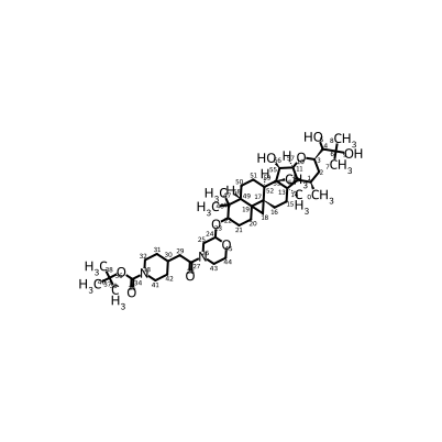 C[C@@H]1C[C@H](C(O)C(C)(C)O)O[C@H]2C1[C@@]1(C)CC[C@@]34CC35CCC(OC3CN(C(=O)CC6CCN(C(=O)OC(C)(C)C)CC6)CCO3)C(C)(C)[C@@H]5CC[C@H]4[C@]1(C)[C@H]2O